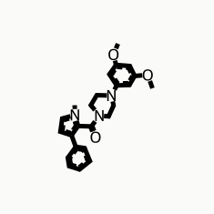 COc1cc(OC)cc(N2CCN(C(=O)c3c(-c4ccccc4)ccn3C)CC2)c1